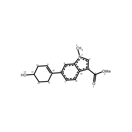 COC(=O)c1cn(C)c2cc(C3=CCC(O)CC3)ccc12